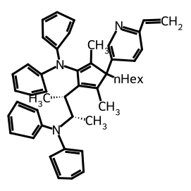 C=Cc1ccc(C2(CCCCCC)C(C)=C([C@@H](C)[C@H](C)N(c3ccccc3)c3ccccc3)C(N(c3ccccc3)c3ccccc3)=C2C)cn1